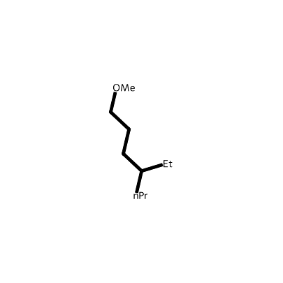 CCCC(CC)CCCOC